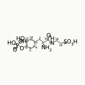 NC(Cc1ccc(OP(=O)(O)O)c(O)c1)C(=O)NCCS(=O)(=O)O